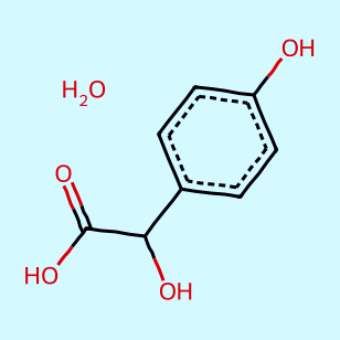 O.O=C(O)C(O)c1ccc(O)cc1